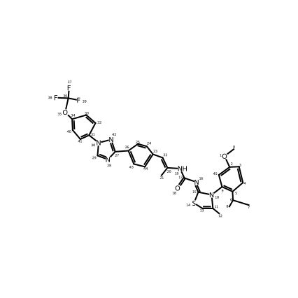 COc1ccc(C(C)C)c(-n2c(C)cs/c2=N\C(=O)N/C(C)=C/c2ccc(-c3ncn(-c4ccc(OC(F)(F)F)cc4)n3)cc2)c1